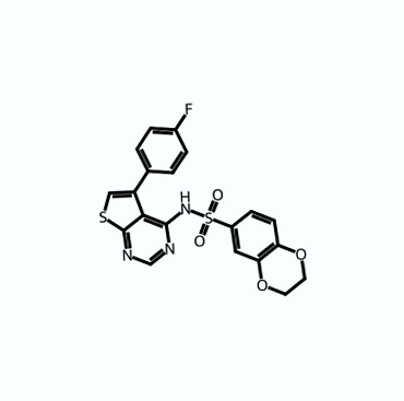 O=S(=O)(Nc1ncnc2scc(-c3ccc(F)cc3)c12)c1ccc2c(c1)OCCO2